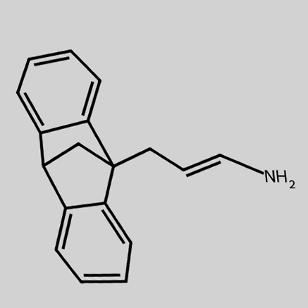 NC=CCC12CC(c3ccccc31)c1ccccc12